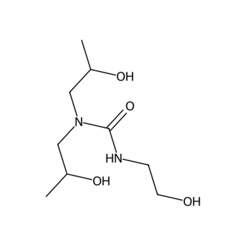 CC(O)CN(CC(C)O)C(=O)NCCO